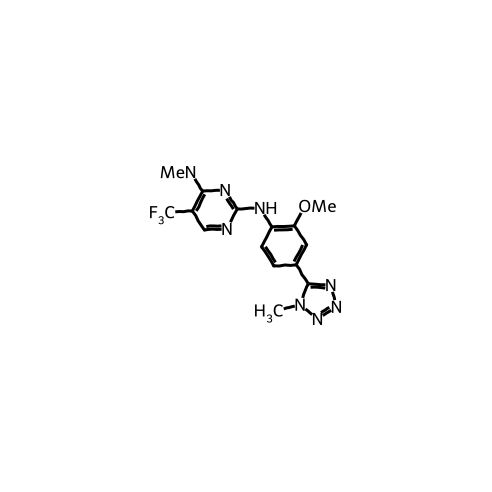 CNc1nc(Nc2ccc(-c3nnnn3C)cc2OC)ncc1C(F)(F)F